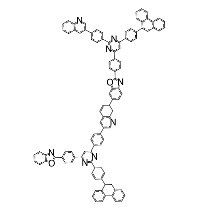 C1=CC(c2nc(-c3ccc(-c4cnc5c(c4)C=CC(c4ccc6nc(-c7ccc(-c8cc(-c9ccc(-c%10cc%11ccccc%11c%11ccccc%10%11)cc9)nc(-c9ccc(-c%10cnc%11ccccc%11c%10)cc9)n8)cc7)oc6c4)C5)cc3)cc(-c3ccc(-c4nc5ccccc5o4)cc3)n2)CC=C1C1Cc2ccccc2-c2ccccc21